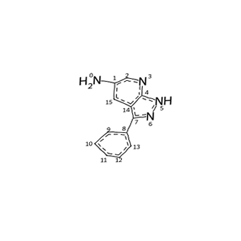 Nc1cnc2[nH]nc(-c3ccccc3)c2c1